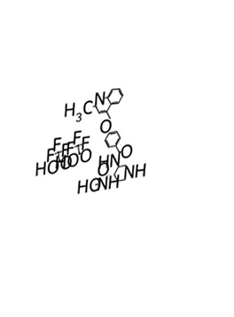 Cc1cc(COc2ccc(C(=O)N[C@@H]3CNCC[C@@H]3C(=O)NO)cc2)c2ccccc2n1.O=C(O)C(F)(F)F.O=C(O)C(F)(F)F